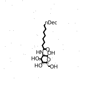 CCCCCCCCCCCCCCCCCC(=O)N[C@H]1C(O)O[C@H](CO)[C@@H](O)[C@@H]1O